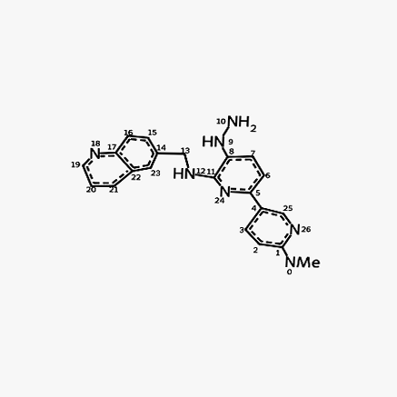 CNc1ccc(-c2ccc(NN)c(NCc3ccc4ncccc4c3)n2)cn1